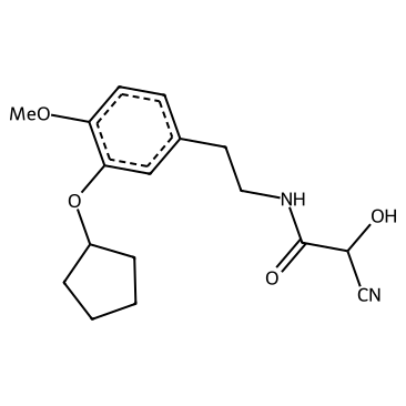 COc1ccc(CCNC(=O)C(O)C#N)cc1OC1CCCC1